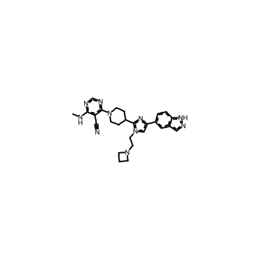 CNc1ncnc(N2CCC(c3nc(-c4ccc5[nH]ncc5c4)cn3CCN3CCC3)CC2)c1C#N